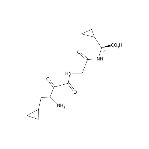 NC(CC1CC1)C(=O)C(=O)NCC(=O)N[C@H](C(=O)O)C1CC1